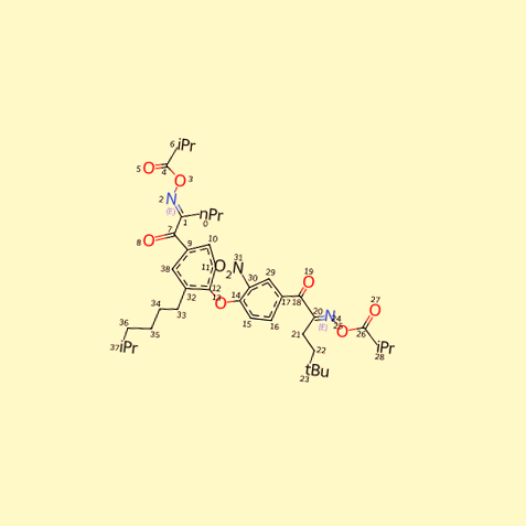 CCC/C(=N\OC(=O)C(C)C)C(=O)c1ccc(Oc2ccc(C(=O)/C(CCC(C)(C)C)=N/OC(=O)C(C)C)cc2[N+](=O)[O-])c(CCCCC(C)C)c1